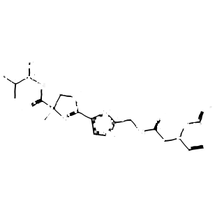 C=CC(CC(=O)NCc1nc(C2=N[C@](C)(C(=O)NC(C)C(C)C)CS2)cs1)OC=O